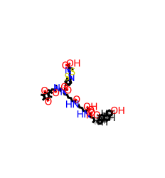 CC1=C(C)C(=O)C(C(C)(C)CC(=O)N(C)CCN(CCCCCC(=O)NCCCCC(NC(=O)CCC(C)[C@H]2CC[C@H]3[C@@H]4CC[C@@H]5C[C@H](O)CC[C@]5(C)[C@H]4C[C@H](O)[C@]23C)C(=O)O)C(=O)Oc2ccc3nc(C4=NC(C(=O)O)CS4)sc3c2)=C(C)C1=O